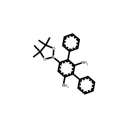 CC1(C)OB(c2cc(N)c(-c3ccccc3)c(N)c2-c2ccccc2)OC1(C)C